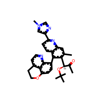 CC(=O)[C@@H](OC(C)(C)C)c1c(C)cc2nc(-c3cn(C)cn3)ccc2c1-c1ccc2c3c(ccnc13)CCO2